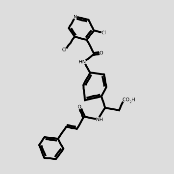 O=C(O)CC(NC(=O)C=Cc1ccccc1)c1ccc(NC(=O)c2c(Cl)cncc2Cl)cc1